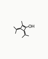 CC(C)=C1C(C)=C(O)C1=C(C)C